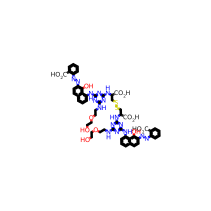 O=C(O)c1ccccc1/N=N/c1ccc2cccc(Nc3nc(NCCOCCO)nc(NC(CSSCC(Nc4nc(NCCOCCO)nc(Nc5cccc6ccc(/N=N/c7ccccc7C(=O)O)c(O)c56)n4)C(=O)O)C(=O)O)n3)c2c1O